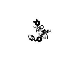 Cc1ccc(NC(=O)Nc2c[nH]nc2-c2nc3cc(CN4CCOCC4)ccc3[nH]2)cc1C